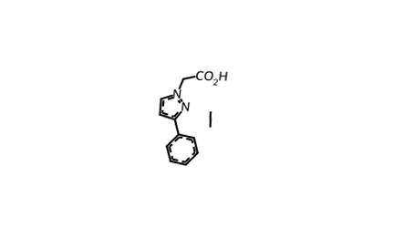 CC.O=C(O)Cn1ccc(-c2ccccc2)n1